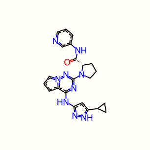 O=C(Nc1cccnc1)[C@@H]1CCCN1c1nc(Nc2cc(C3CC3)[nH]n2)c2cccn2n1